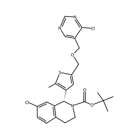 Cc1sc(COCc2cncnc2Cl)cc1[C@H]1c2cc(Cl)ccc2CCN1C(=O)OC(C)(C)C